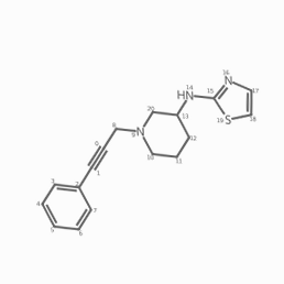 C(#Cc1ccccc1)CN1CCCC(Nc2nccs2)C1